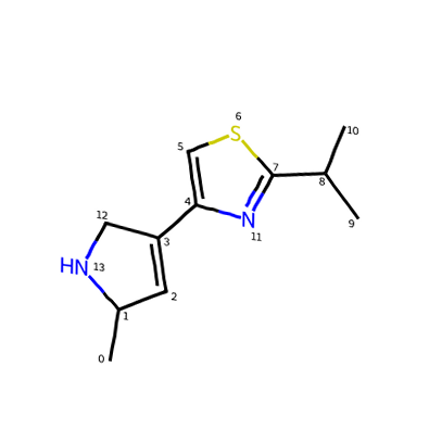 CC1C=C(c2csc(C(C)C)n2)CN1